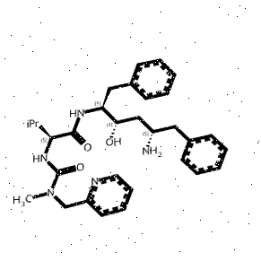 CC(C)[C@H](NC(=O)N(C)Cc1ccccn1)C(=O)N[C@@H](Cc1ccccc1)[C@@H](O)C[C@@H](N)Cc1ccccc1